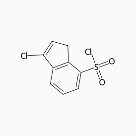 O=S(=O)(Cl)c1cccc2c1CC=C2Cl